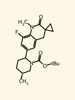 C[C@H]1CCC(c2cc(F)c3c(c2)CC2(CC2)C(=O)N3C)N(C(=O)OC(C)(C)C)C1